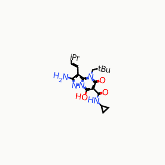 CC(C)/C=C/c1c(N)nn2c(O)c(C(=O)NC3CC3)c(=O)n(CC(C)(C)C)c12